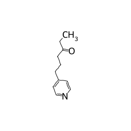 CCC(=O)CCCc1ccncc1